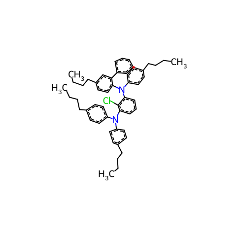 CCCCc1ccc(N(c2ccc(CCCC)cc2)c2cccc(N(c3ccc(CCCC)cc3)c3ccc(CCCC)cc3-c3ccccc3)c2Cl)cc1